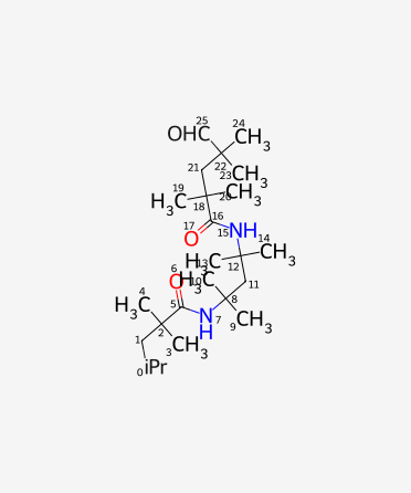 CC(C)CC(C)(C)C(=O)NC(C)(C)CC(C)(C)NC(=O)C(C)(C)CC(C)(C)C=O